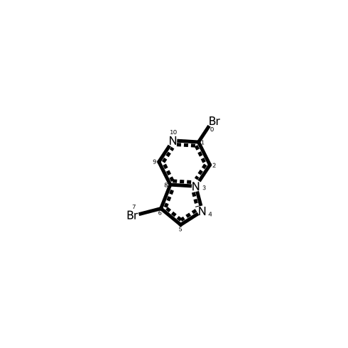 Brc1cn2ncc(Br)c2cn1